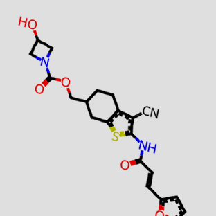 N#Cc1c(NC(=O)C=Cc2ccco2)sc2c1CCC(COC(=O)N1CC(O)C1)C2